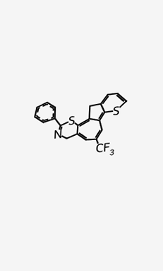 FC(F)(F)C1=CC2=C3SC=CC=C3CC2=C2SC(c3ccccc3)=NCC2=C1